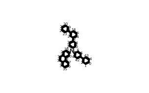 c1ccc(-c2ccc(N(c3ccc(-c4cccc(-c5ccccc5)c4)cc3)c3ccc4ccc5ccccc5c4c3)cc2)cc1